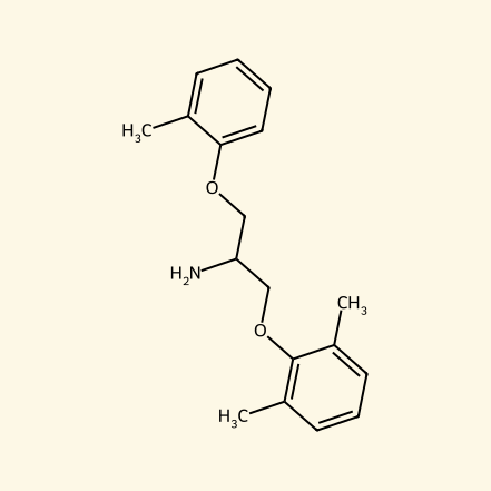 Cc1ccccc1OCC(N)COc1c(C)cccc1C